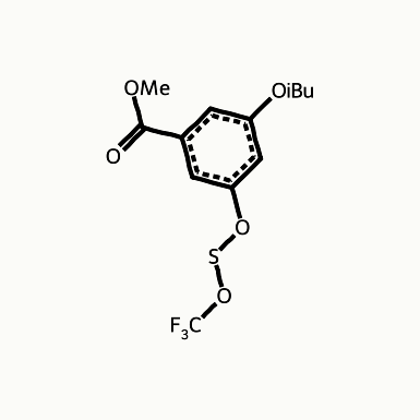 COC(=O)c1cc(OCC(C)C)cc(OSOC(F)(F)F)c1